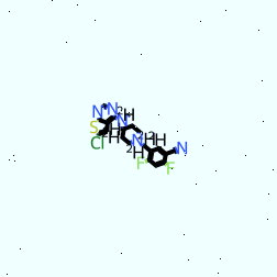 [2H]c1c(C#N)c(F)cc(F)c1C([2H])([2H])N1CCC([2H])(N([2H])c2ncnc3sc(Cl)c([2H])c23)CC1